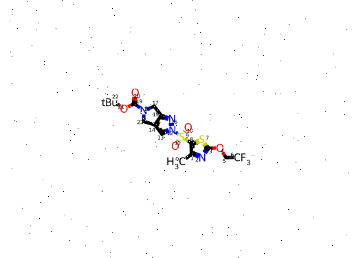 Cc1nc(OCC(F)(F)F)sc1S(=O)(=O)n1cc2c(n1)CN(C(=O)OC(C)(C)C)C2